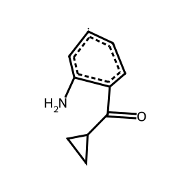 Nc1c[c]ccc1C(=O)C1CC1